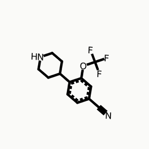 N#Cc1ccc(C2CCNCC2)c(OC(F)(F)F)c1